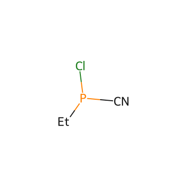 CCP(Cl)C#N